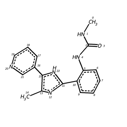 CNC(=O)Nc1ccccc1-c1nc(C)c(-c2cccnc2)[nH]1